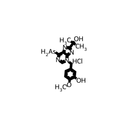 COc1ccc(Cn2cnc([AsH2])c3nc(C(C)(C)O)nc2-3)cc1O.Cl